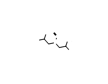 CC(C)C[SH](CC(C)C)P=S